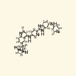 Cc1cc(Nc2ccc3nc(-c4ccc(Nc5cc(C)nc6ccc(C78CC7[C@@H]7CC[C@H](C8)O7)cc56)cn4)[nH]c3c2)ccn1